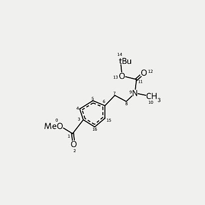 COC(=O)c1ccc(CCN(C)C(=O)OC(C)(C)C)cc1